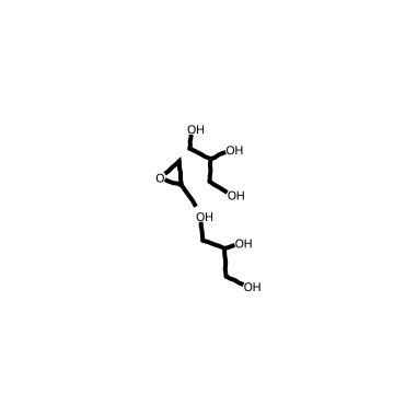 CC1CO1.OCC(O)CO.OCC(O)CO